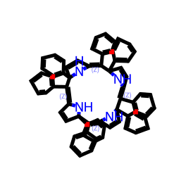 C1=CC2(c3ccccc3)N/C1=C(/c1ccccc1)C1(c3ccccc3)C=C/C(=C(\c3ccccc3)C3(c4ccccc4)C=C/C(=C(\c4ccccc4)C4(c5ccccc5)C=C/C(=C/2c2ccccc2)N4)N3)N1